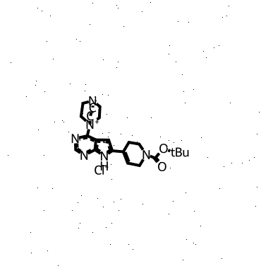 CC(C)(C)OC(=O)N1CC=C(c2cc3c([N+]45CCN(CC4)CC5)ncnc3[nH]2)CC1.[Cl-]